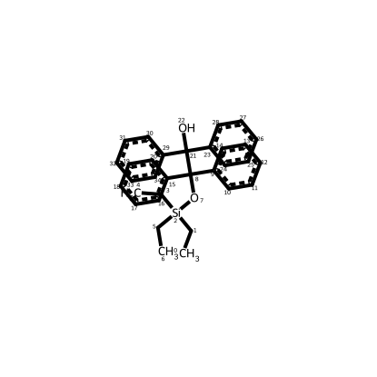 CC[Si](CC)(CC)OC(c1ccccc1)(c1ccccc1)C(O)(c1ccccc1)c1ccccc1